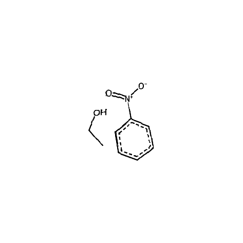 CCO.O=[N+]([O-])c1ccccc1